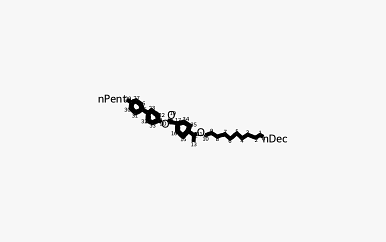 CCCCCCCCCCCCCCCCCCCCOC(C)c1ccc(C(=O)Oc2ccc(-c3ccc(CCCCC)cc3)cc2)cc1